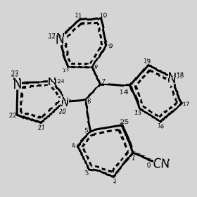 N#Cc1cccc(C(C(c2cccnc2)c2cccnc2)n2ccnn2)c1